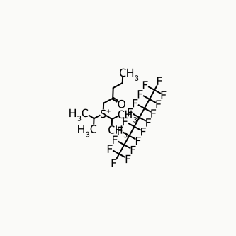 CCCC(=O)C[S+](C(C)C)C(C)C.FC(F)(F)C(F)(F)C(F)(F)C(F)(F)C(F)(F)C(F)(F)C(F)(F)C(F)(F)F